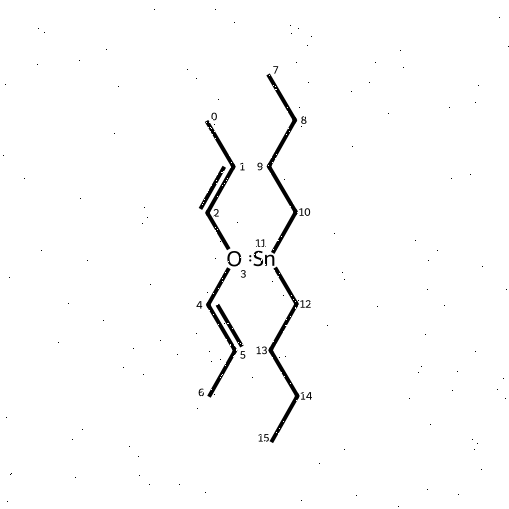 CC=COC=CC.CCC[CH2][Sn][CH2]CCC